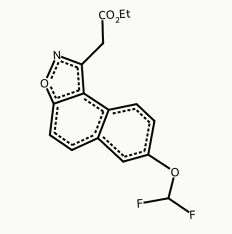 CCOC(=O)Cc1noc2ccc3cc(OC(F)F)ccc3c12